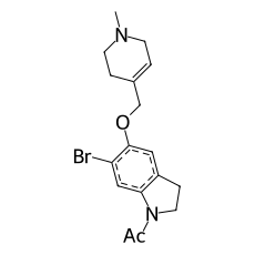 CC(=O)N1CCc2cc(OCC3=CCN(C)CC3)c(Br)cc21